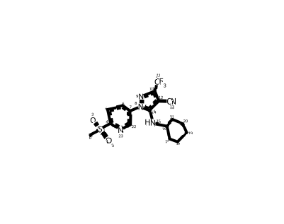 CS(=O)(=O)c1ccc(-n2nc(C(F)(F)F)c(C#N)c2NC2CCCCC2)cn1